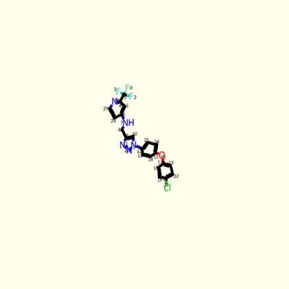 FC(F)(F)c1cc(NCc2cn(-c3ccc(Oc4ccc(Cl)cc4)cc3)nn2)ccn1